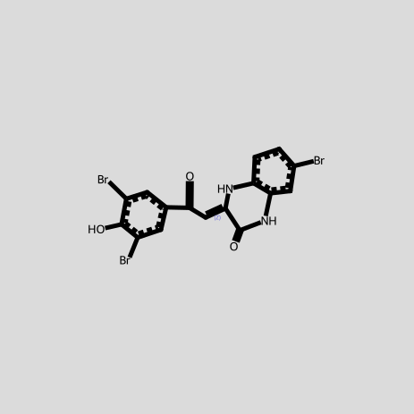 O=C1Nc2cc(Br)ccc2N/C1=C\C(=O)c1cc(Br)c(O)c(Br)c1